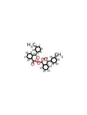 Cc1cccc(C(=O)c2ccccc2C(=O)OOC(=O)c2ccccc2C(=O)c2cccc(C)c2)c1